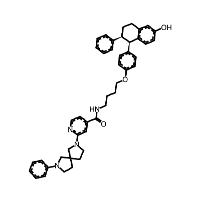 O=C(NCCCCOc1ccc([C@@H]2c3ccc(O)cc3CC[C@@H]2c2ccccc2)cc1)c1ccnc(N2CCC3(CCN(c4ccccc4)C3)C2)c1